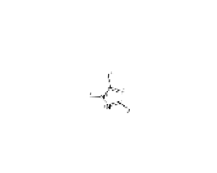 Cc1cc(I)n(C)n1